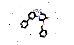 O=C(O)c1cc(=O)c(OCc2ccccc2)cn1-c1cccc(-c2ccccc2)c1